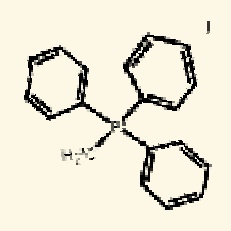 [13CH3][P+](c1ccccc1)(c1ccccc1)c1ccccc1.[I-]